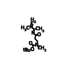 C/C(=N\C(=O)CCN(C)C(=O)OC(C)(C)C)N(C)C